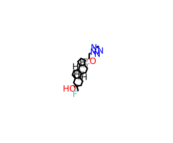 C[C@]12CC[C@H]3[C@@H](CC=C4C[C@@](O)(CF)CC[C@@H]43)[C@@H]1CC[C@@H]2C(=O)Cn1ncnn1